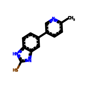 Cc1ccc(-c2ccc3[nH]c(S)nc3c2)cn1